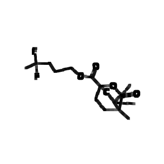 CC(F)(F)CCCOC(=O)C12CCC(C)(C(=O)O1)C(C)(C)C2